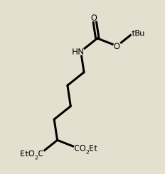 CCOC(=O)C(CCCCNC(=O)OC(C)(C)C)C(=O)OCC